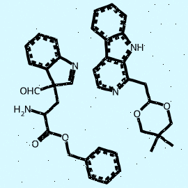 CC1(C)COC(Cc2nccc3c2[nH]c2ccccc23)OC1.NC(CC1(C=O)C=Nc2ccccc21)C(=O)OCc1ccccc1